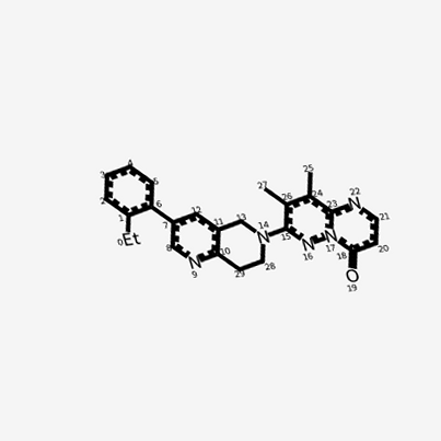 CCc1ccccc1-c1cnc2c(c1)CN(c1nn3c(=O)ccnc3c(C)c1C)CC2